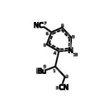 CCC(C)C(CC#N)c1cc(C#N)ccn1